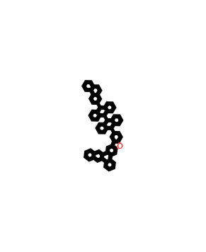 c1ccc2cc3c(cc2c1)c1ccccc1c1cc2oc4ccc(-c5c6ccccc6c(-c6c7ccccc7c(-c7ccc8c(ccc9ccccc98)c7)c7ccccc67)c6ccccc56)cc4c2cc31